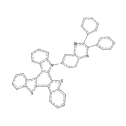 c1ccc(-c2nc3ccc(-n4c5ccccc5c5c6c7ccccc7sc6c6c7ccccc7sc6c54)cc3nc2-c2ccccc2)cc1